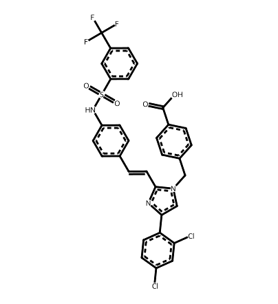 O=C(O)c1ccc(Cn2cc(-c3ccc(Cl)cc3Cl)nc2C=Cc2ccc(NS(=O)(=O)c3cccc(C(F)(F)F)c3)cc2)cc1